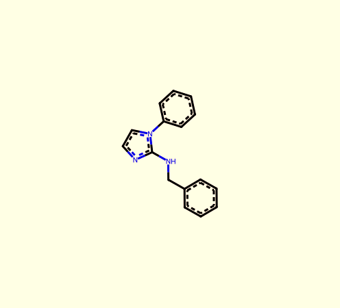 c1ccc(CNc2nccn2-c2ccccc2)cc1